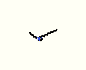 CCCCCCCCCCCc1ccc[n+](CCCCCCC)c1